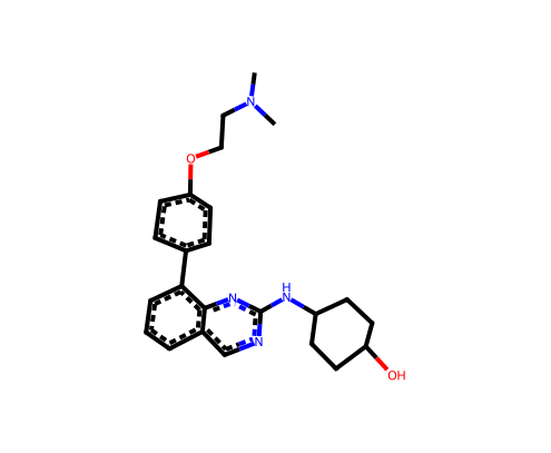 CN(C)CCOc1ccc(-c2cccc3cnc(NC4CCC(O)CC4)nc23)cc1